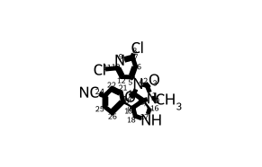 CN1C(=O)N(c2cc(Cl)nc(Cl)c2)C(=O)[C@]12CNC[C@H]2c1ccc(C#N)cc1